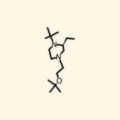 CC[C@H]1CN(CCOC(C)(C)C)CCN1C(C)(C)C